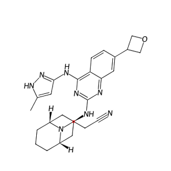 Cc1cc(Nc2nc(N[C@@H]3C[C@H]4CCC[C@@H](C3)N4CCC#N)nc3cc(C4COC4)ccc23)n[nH]1